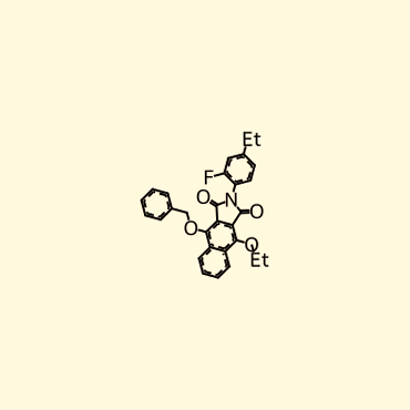 CCOc1c2c(c(OCc3ccccc3)c3ccccc13)C(=O)N(c1ccc(CC)cc1F)C2=O